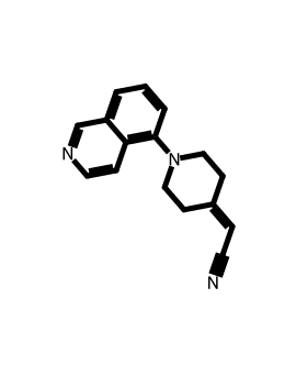 N#CC=C1CCN(c2cccc3cnccc23)CC1